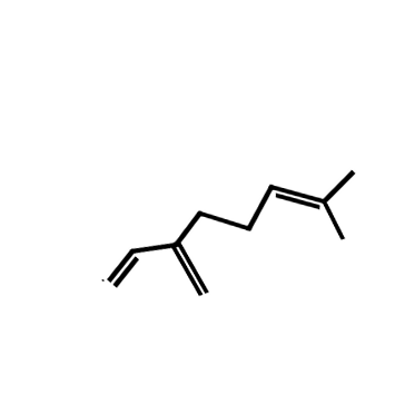 [CH]=CC(=C)CCC=C(C)C